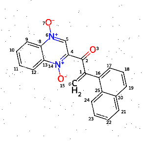 C=C(C(=O)c1c[n+]([O-])c2ccccc2[n+]1[O-])c1cccc2ccccc12